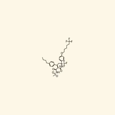 CCCCc1ccc(C2=C(C(=O)NS(C)(=O)=O)C(=O)N[C@@](c3ccc(OCCCCCC(F)(F)F)cc3)(C(F)(F)F)C2)cc1